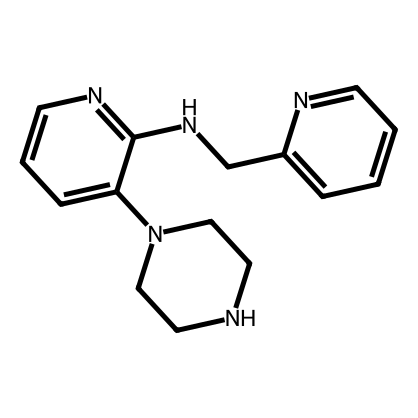 c1ccc(CNc2ncccc2N2CCNCC2)nc1